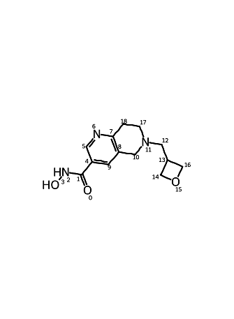 O=C(NO)c1cnc2c(c1)CN(CC1COC1)CC2